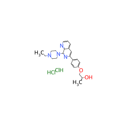 CCN1CCN(c2nc(-c3ccc(OC[C@H](C)O)cc3)cc3cccnc23)CC1.Cl.Cl